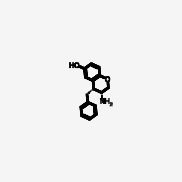 N[C@H]1COc2ccc(O)cc2[C@H]1Cc1ccccc1